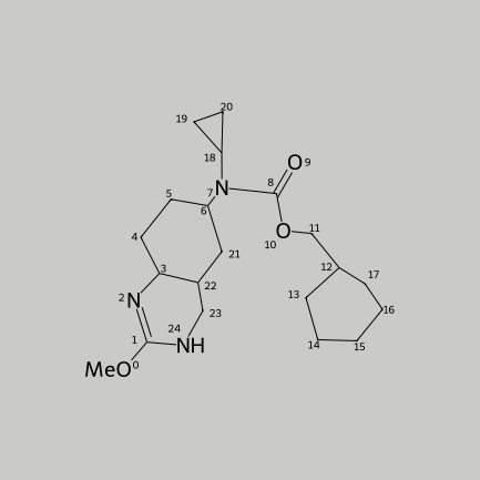 COC1=NC2CCC(N(C(=O)OCC3CCCCC3)C3CC3)CC2CN1